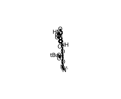 CC(C)(C)OC(=O)N(CCOCCN=[N+]=[N-])CCOCCC(=O)Nc1ccc2c(c1)CN(C1CCC(=O)NC1=O)C2=O